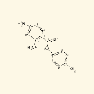 Nc1ccc(C(=O)Oc2ccc(O)cc2)c(N)c1